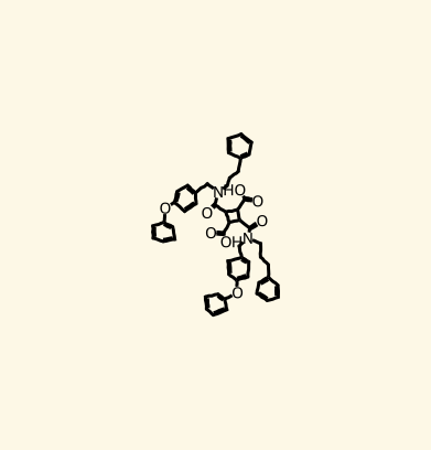 O=C(O)C1C(C(=O)N(CCCc2ccccc2)Cc2ccc(Oc3ccccc3)cc2)C(C(=O)O)C1C(=O)N(CCCc1ccccc1)Cc1ccc(Oc2ccccc2)cc1